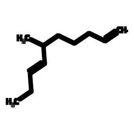 [CH]=CCCCC(C)C=CCC